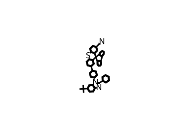 CC(C)(C)c1ccc2nc(-c3ccccc3)n(-c3ccc(-c4ccc5c(c4)C4(c6cc(C#N)ccc6S5)c5ccccc5-c5ccccc54)cc3)c2c1